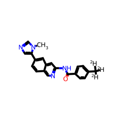 [2H]C([2H])([2H])c1ccc(C(=O)Nc2cc3cc(-c4cncn4C)ccc3cn2)cc1